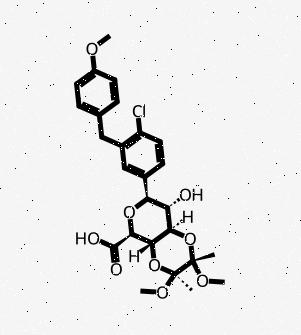 COc1ccc(Cc2cc([C@@H]3O[C@H](C(=O)O)[C@H]4O[C@](C)(OC)[C@@](C)(OC)O[C@@H]4[C@H]3O)ccc2Cl)cc1